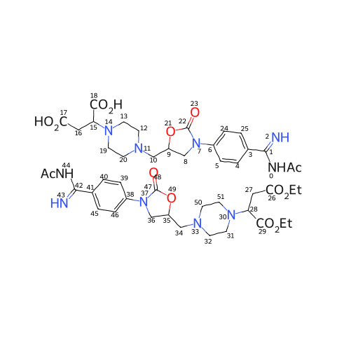 CC(=O)NC(=N)c1ccc(N2CC(CN3CCN(C(CC(=O)O)C(=O)O)CC3)OC2=O)cc1.CCOC(=O)CC(C(=O)OCC)N1CCN(CC2CN(c3ccc(C(=N)NC(C)=O)cc3)C(=O)O2)CC1